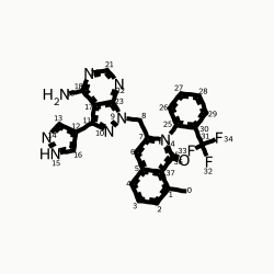 Cc1cccc2cc(Cn3nc(-c4cn[nH]c4)c4c(N)ncnc43)n(-c3ccccc3C(F)(F)F)c(=O)c12